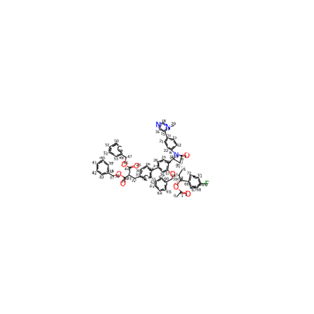 CC(=O)O[C@@H](CC[C@H]1C(=O)N(c2ccc(-c3cncn3C)cc2)[C@@H]1c1ccc(-c2ccc(CC(C(=O)OCc3ccccc3)C(=O)OCc3ccccc3)cc2)cc1OCc1ccccc1)c1ccc(F)cc1